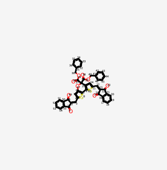 O=C1C(=Cc2cc3c(s2)-c2sc(C=C4C(=O)c5ccccc5C4=O)cc2C(C(=O)OCc2ccccc2)(C(=O)OCc2ccccc2)O3)C(=O)c2ccccc21